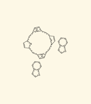 C1=Cc2cc3ccc(cc4nc(cc5ccc(cc1n2)[nH]5)C=C4)[nH]3.c1ccc2sccc2c1.c1ccc2sccc2c1